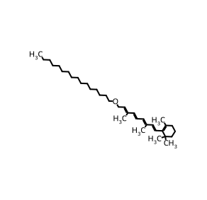 CCCCCCCCCCCCCCCCOC/C=C(C)/C=C/C=C(C)/C=C/C1=C(C)CCCC1(C)C